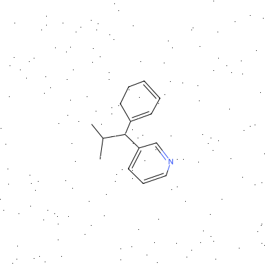 CC(C)C(C1=CC=CCC1)c1cccnc1